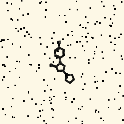 O=C1C=C(N2CCCC2)CN1c1ccc(Cl)cc1